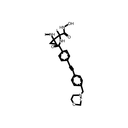 O=C(NC(I)(C(=O)NO)C1(NI)CC1)c1ccc(C#Cc2ccc(CN3CCOCC3)cc2)cc1